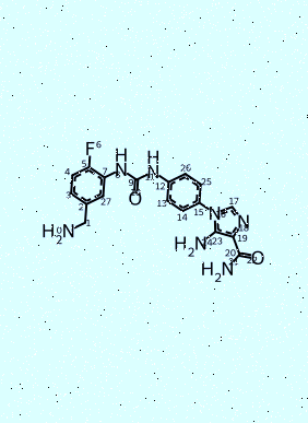 NCc1ccc(F)c(NC(=O)Nc2ccc(-n3cnc(C(N)=O)c3N)cc2)c1